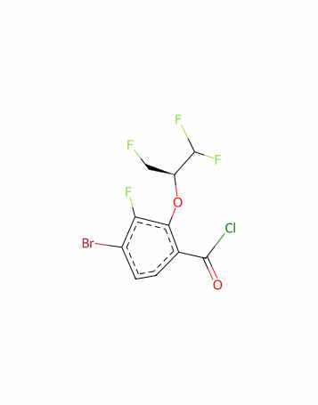 O=C(Cl)c1ccc(Br)c(F)c1O[C@@H](CF)C(F)F